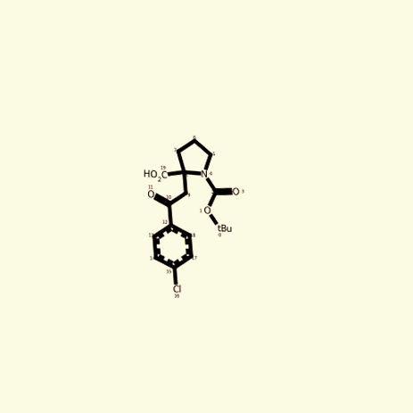 CC(C)(C)OC(=O)N1CCCC1(CC(=O)c1ccc(Cl)cc1)C(=O)O